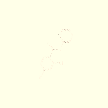 O=C(Sc1ccccn1)c1ccc(Br)cc1Cl